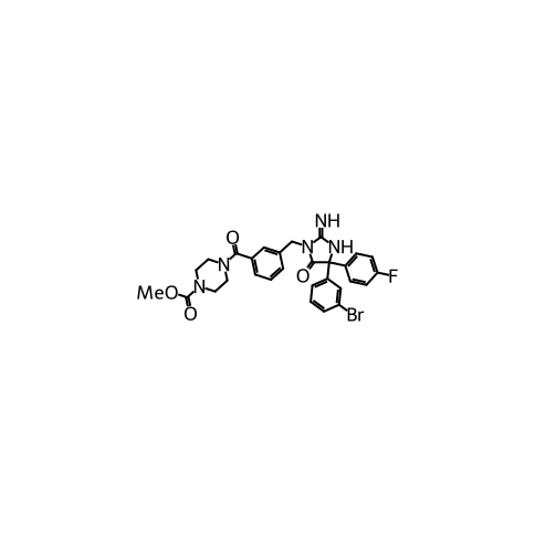 COC(=O)N1CCN(C(=O)c2cccc(CN3C(=N)NC(c4ccc(F)cc4)(c4cccc(Br)c4)C3=O)c2)CC1